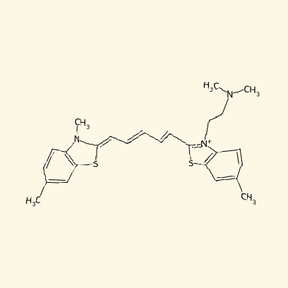 Cc1ccc2c(c1)S\C(=C/C=C/C=C/c1sc3cc(C)ccc3[n+]1CCN(C)C)N2C